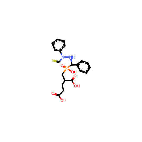 O=C(O)CCC(CP(=O)(O)C(NN(C=S)c1ccccc1)c1ccccc1)C(=O)O